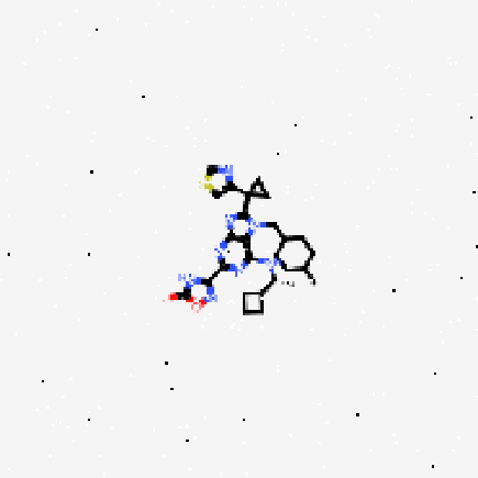 CC1CCC(Cn2c(C3(c4cscn4)CC3)nc3nc(-c4noc(=O)[nH]4)nc(N[C@H](C)C4CCC4)c32)CC1